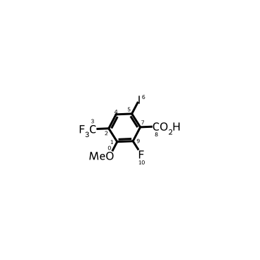 COc1c(C(F)(F)F)cc(I)c(C(=O)O)c1F